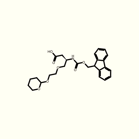 O=C(O)C[C@H](COCCOC1CCCCO1)NC(=O)OCC1c2ccccc2-c2ccccc21